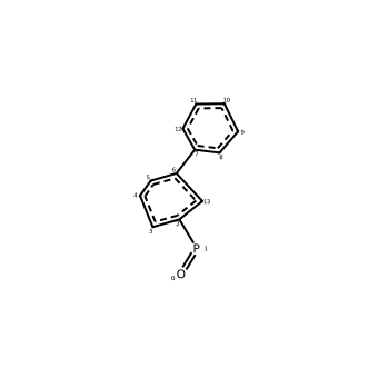 O=Pc1cccc(-c2ccccc2)c1